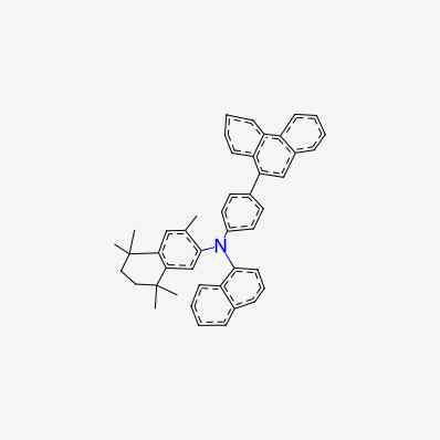 Cc1cc2c(cc1N(c1ccc(-c3cc4ccccc4c4ccccc34)cc1)c1cccc3ccccc13)C(C)(C)CCC2(C)C